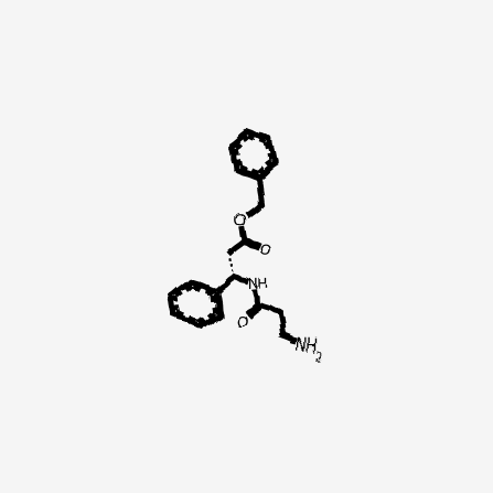 NCCC(=O)N[C@@H](CC(=O)OCc1ccccc1)c1ccccc1